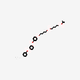 C=C(C)C(=O)OCCCCCC(=O)OCCCCCCOc1ccc(C(=O)Oc2ccc(OC(=O)c3ccc(OC)cc3)cc2)cc1